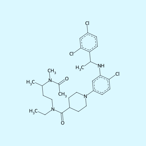 CCN(CCC(C)N(C)C(C)=O)C(=O)C1CCN(c2ccc(Cl)c(NC(C)c3ccc(Cl)cc3Cl)c2)CC1